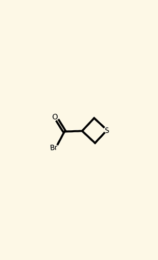 O=C(Br)C1CSC1